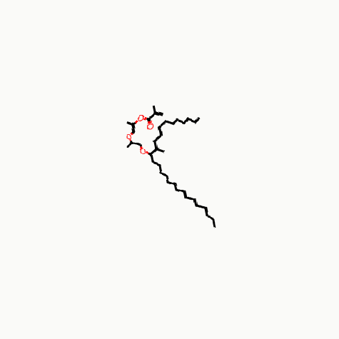 C=C(C)C(=O)OC(C)COC(C)COC(CCCCCCCCCCCCCCC)C(C)CCCCCCCCCC